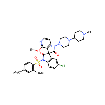 CCN1CCC(N2CCN(NC(=O)C3(c4cccnc4OC(C)C)C(=O)N(S(=O)(=O)c4ccc(OC)cc4OC)c4ccc(Cl)cc43)CC2)CC1